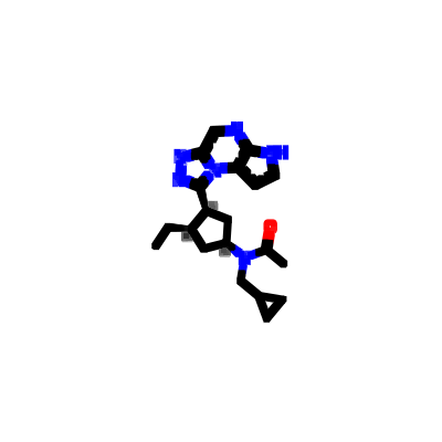 CC[C@@H]1C[C@H](N(CC2CC2)C(C)=O)C[C@@H]1c1nnc2cnc3[nH]ccc3n12